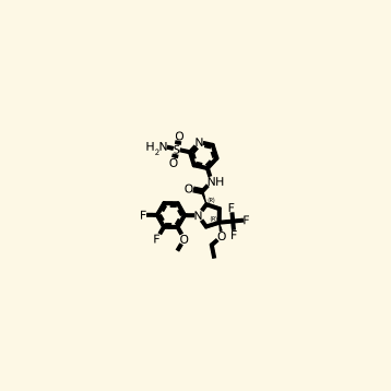 CCO[C@]1(C(F)(F)F)C[C@H](C(=O)Nc2ccnc(S(N)(=O)=O)c2)N(c2ccc(F)c(F)c2OC)C1